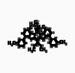 CCCCC1=Cc2c(-c3cccc(C)c3)ccc(C)c2[CH]1[Zr+2]1([CH]2C(CCCC)=Cc3c(-c4cccc(C)c4)ccc(C)c32)[CH2][CH2]1.[Cl-].[Cl-]